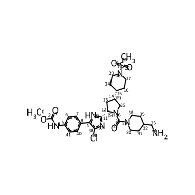 COC(=O)Nc1ccc(-c2[nH]c([C@@H]3C[C@H](C4CCN(S(C)(=O)=O)CC4)CN3C(=O)N3CCC(CN)CC3)nc2Cl)cc1